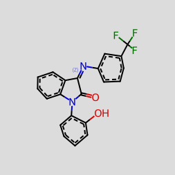 O=C1/C(=N\c2cccc(C(F)(F)F)c2)c2ccccc2N1c1ccccc1O